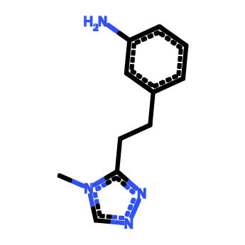 Cn1cnnc1CCc1cccc(N)c1